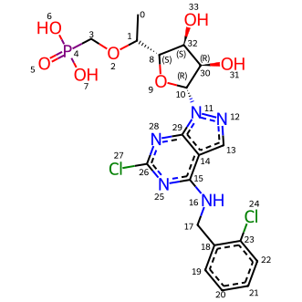 CC(OCP(=O)(O)O)[C@H]1O[C@@H](n2ncc3c(NCc4ccccc4Cl)nc(Cl)nc32)[C@H](O)[C@@H]1O